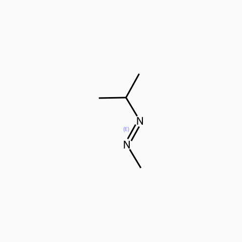 C/N=N/C(C)C